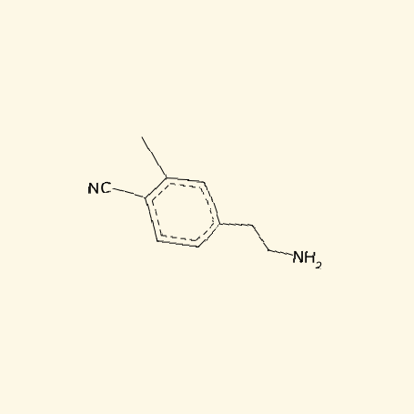 Cc1cc(CCN)ccc1C#N